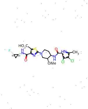 COC1CN(c2nc(C(=O)N[C@@H]3C[C@@H]3F)c(C(=O)O)s2)CCC1NC(=O)c1[nH]c(C)c(Cl)c1Cl